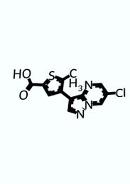 Cc1sc(C(=O)O)cc1-c1cnn2cc(Cl)cnc12